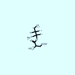 O=C([O-])CC(C(=O)OC(F)(F)C(F)(F)CC(F)(F)F)S(=O)(=O)O.[Na+]